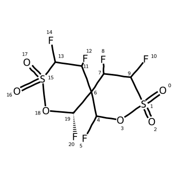 O=S1(=O)OC(F)C2(C(F)C1F)C(F)C(F)S(=O)(=O)O[C@H]2F